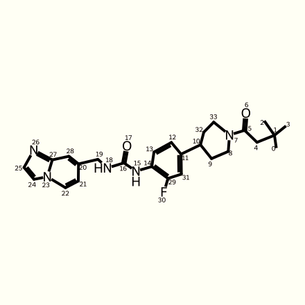 CC(C)(C)CC(=O)N1CCC(c2ccc(NC(=O)NCc3ccn4ccnc4c3)c(F)c2)CC1